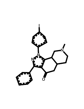 CN1CCC2CC(=O)c3c(-c4ccccc4)nn(-c4ccc(I)cc4)c3C2C1